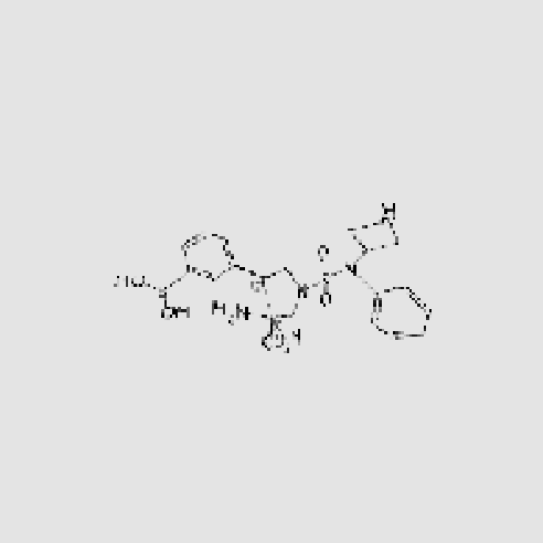 N[C@@]1(C(=O)O)CN(S(=O)(=O)N(c2ccccc2)C2CNC2)C[C@@H]1c1cccc(B(O)O)c1